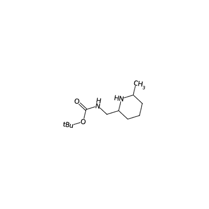 CC1CCCC(CNC(=O)OC(C)(C)C)N1